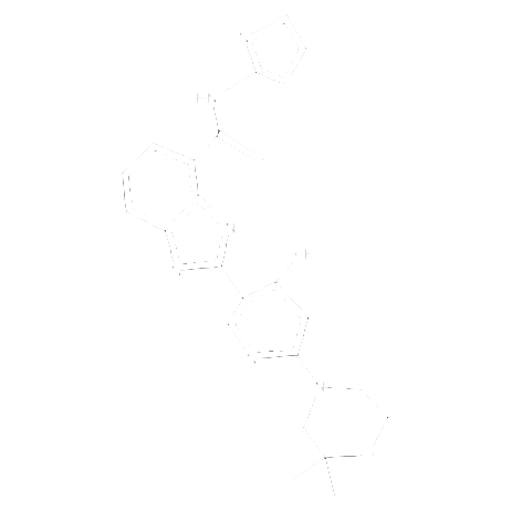 CC1(C)CN(c2cc(C(F)(F)F)c(-c3nc4c(C(=O)Nc5nccs5)cccc4[nH]3)cn2)CCO1